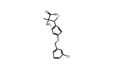 CC(c1ccc(OCc2cccc(Cl)c2)cc1)C(C)(N)C(N)=O